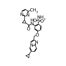 Cc1ccnc(C2CC2C(=O)Nc2cc(OCc3cn4cc(C5CC5)ccc4n3)ccc2S(N)(=O)=O)n1